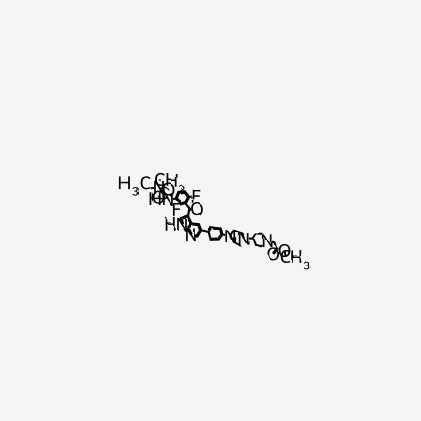 CCN(C)S(=O)(=O)Nc1ccc(F)c(C(=O)c2c[nH]c3ncc(-c4ccc(N5CCN(C6CCN(CC(=O)OC)CC6)CC5)cc4)cc23)c1F